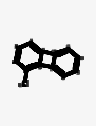 Clc1cccc2c1-c1ccccc1-2